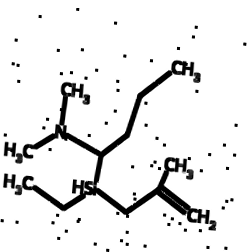 C=C(C)C[SiH](CC)C(CCC)N(C)C